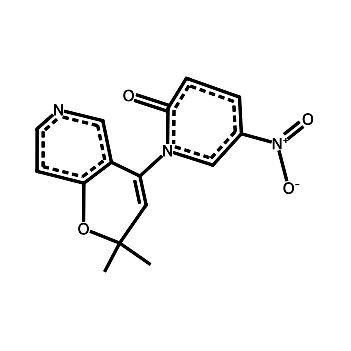 CC1(C)C=C(n2cc([N+](=O)[O-])ccc2=O)c2cnccc2O1